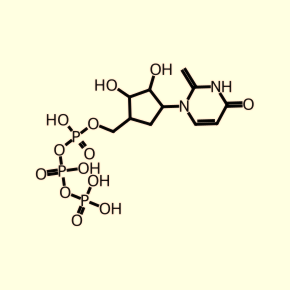 C=C1NC(=O)C=CN1C1CC(COP(=O)(O)OP(=O)(O)OP(=O)(O)O)C(O)C1O